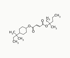 CCCC(C)(C)OC(=O)/C=C/C(=O)OC1CCC(C(C)(C)CC)CC1